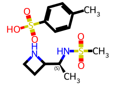 C[C@H](NS(C)(=O)=O)C1CCN1.Cc1ccc(S(=O)(=O)O)cc1